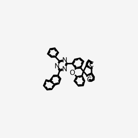 c1ccc(-c2nc(-c3ccc4ccccc4c3)nc(-c3cccc4c3Oc3ccccc3C43c4ccccc4-c4ccccc43)n2)cc1